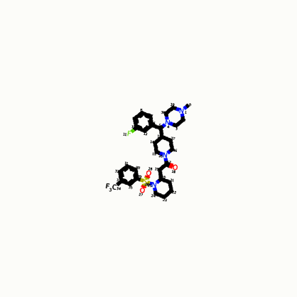 CN1CCN(C(c2cccc(F)c2)C2CCN(C(=O)CC3CCCCN3S(=O)(=O)c3cccc(C(F)(F)F)c3)CC2)CC1